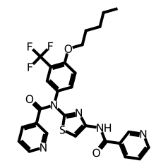 CCCCCOc1ccc(N(C(=O)c2cccnc2)c2nc(NC(=O)c3cccnc3)cs2)cc1C(F)(F)F